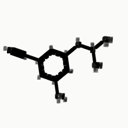 Cc1cc(C#N)cc(OB(O)O)c1